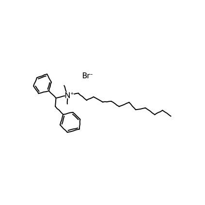 CCCCCCCCCCCC[N+](C)(C)C(Cc1ccccc1)c1ccccc1.[Br-]